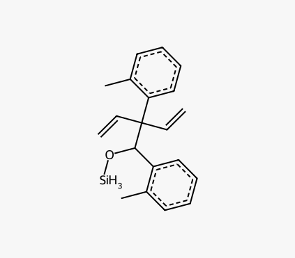 C=CC(C=C)(c1ccccc1C)C(O[SiH3])c1ccccc1C